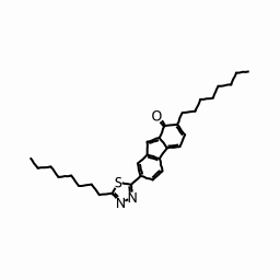 CCCCCCCCC1=CC=C2C(=Cc3cc(-c4nnc(CCCCCCCC)s4)ccc32)C1=O